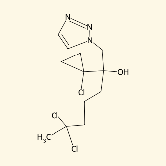 CC(Cl)(Cl)CCCC(O)(Cn1ccnn1)C1(Cl)CC1